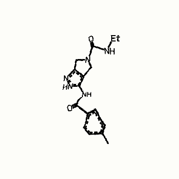 CCNC(=O)N1Cc2n[nH]c(NC(=O)c3ccc(C)cc3)c2C1